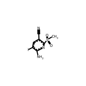 CS(=O)(=O)c1nc(N)c(I)cc1C#N